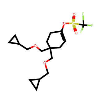 O=S(=O)(OC1=CCC(COCC2CC2)(COCC2CC2)CC1)C(F)(F)F